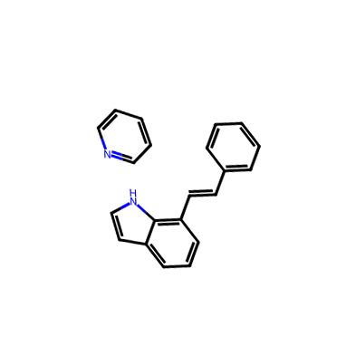 C(=Cc1cccc2cc[nH]c12)c1ccccc1.c1ccncc1